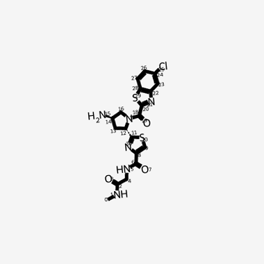 CNC(=O)CNC(=O)c1csc([C@@H]2C[C@@H](N)CN2C(=O)c2nc3cc(Cl)ccc3s2)n1